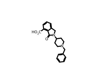 O=C(O)c1cccc2c1C(=O)N(C1CCN(Cc3ccccc3)CC1)C2